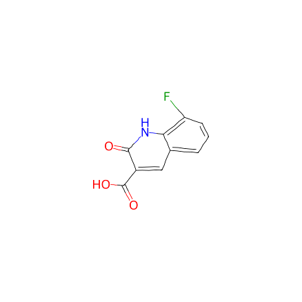 O=C(O)c1cc2cccc(F)c2[nH]c1=O